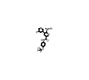 CCCN(C)c1ncc(C(=O)Nc2ccc(OC(F)(F)Cl)cc2)cc1-c1cncc(F)c1